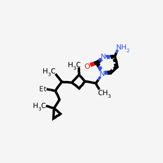 CCC(CC1(C)CC1)C(C)C1CC(C(C)n2ccc(N)nc2=O)C1C